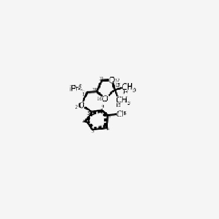 CC(C)[C@@H](Oc1cccc(Cl)c1)C1COC(C)(C)O1